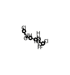 O=C(NCc1ccc(Cl)cc1)c1ccc(-c2cnc3c(c2)NCCN3Cc2cc(Cl)ccc2C(F)(F)F)cc1